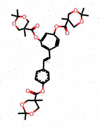 CC1(C)OCC(C)(C(=O)OC2=CC(OC(=O)C3(C)COC(C)(C)OC3)C#CC(/C=C/c3ccc(OC(=O)C4(C)COC(C)(C)OC4)cc3)=C2)CO1